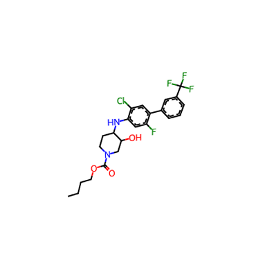 CCCCOC(=O)N1CCC(Nc2cc(F)c(-c3cccc(C(F)(F)F)c3)cc2Cl)C(O)C1